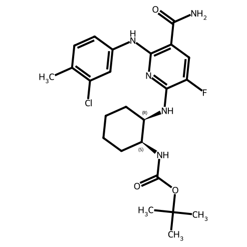 Cc1ccc(Nc2nc(N[C@@H]3CCCC[C@@H]3NC(=O)OC(C)(C)C)c(F)cc2C(N)=O)cc1Cl